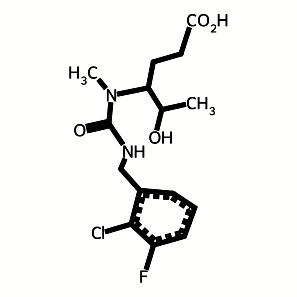 CC(O)C(CCC(=O)O)N(C)C(=O)NCc1cccc(F)c1Cl